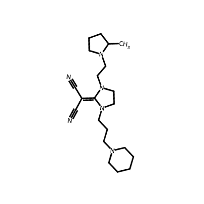 CC1CCCN1CCN1CCN(CCCN2CCCCC2)C1=C(C#N)C#N